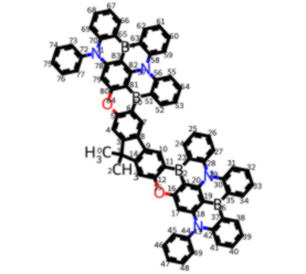 CC1(C)c2cc3c(cc2-c2cc4c(cc21)Oc1cc2c5c6c1B4c1ccccc1N6c1ccccc1B5c1ccccc1N2c1ccccc1)B1c2ccccc2N2c4ccccc4B4c5ccccc5N(c5ccccc5)c5cc(c1c2c54)O3